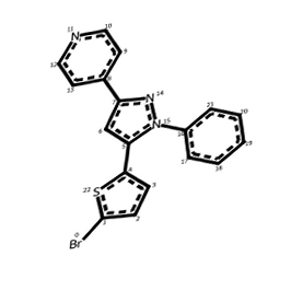 Brc1ccc(-c2cc(-c3ccncc3)nn2-c2ccccc2)s1